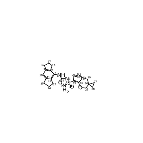 N[S@@](=O)(=NC(=O)Nc1c2c(cc3c1CCC3)CCC2)c1cnn2c1OCC1(CC1)C2